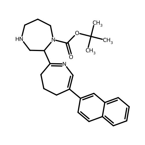 CC(C)(C)OC(=O)N1CCCNCC1C1=NC=C(c2ccc3ccccc3c2)CCC1